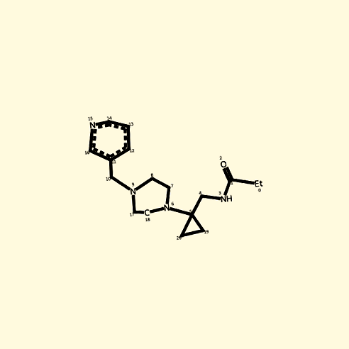 CCC(=O)NCC1(N2CCN(Cc3cccnc3)CC2)CC1